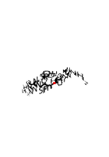 CC1CC23O[C@H]4[C@H](n5cnc6c(N)ncnc65)O[C@@]2(COP(O)(=S)O[C@@H]([C@@H](S)n2cnc5c(=O)[nH]c(N)nc52)[C@H]1F)[C@H]43